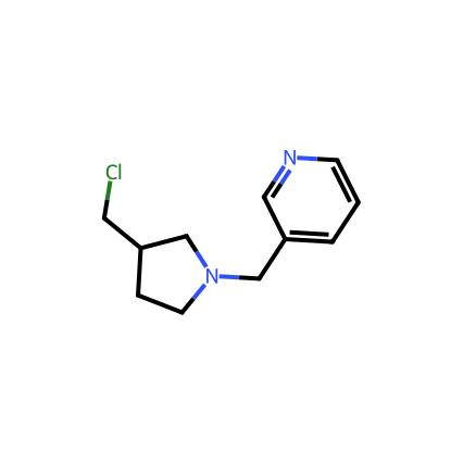 ClCC1CCN(Cc2cccnc2)C1